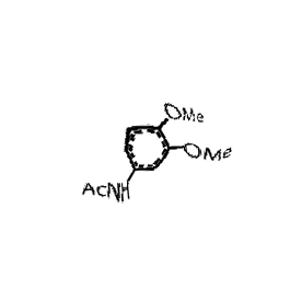 [CH2]C(=O)Nc1ccc(OC)c(OC)c1